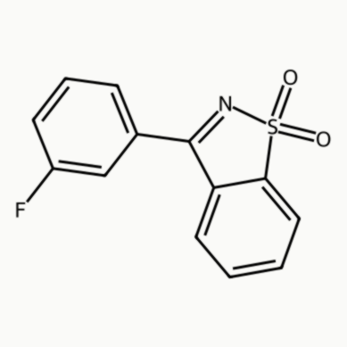 O=S1(=O)N=C(c2cccc(F)c2)c2ccccc21